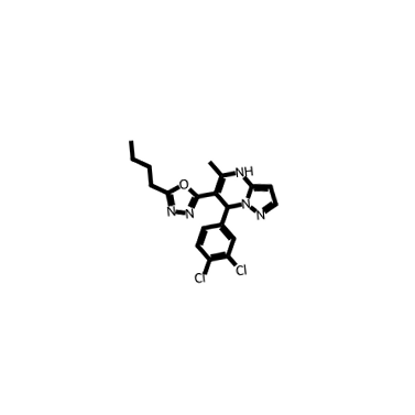 CCCCc1nnc(C2=C(C)Nc3ccnn3C2c2ccc(Cl)c(Cl)c2)o1